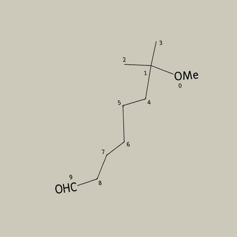 COC(C)(C)CCCCCC=O